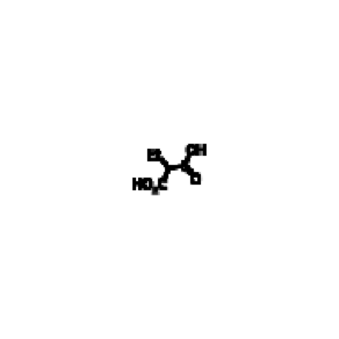 CCC(C(=O)O)S(=O)O